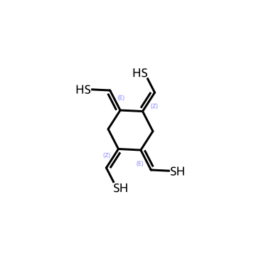 S/C=C1/CC(=C\S)/C(=C\S)C/C1=C\S